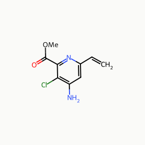 C=Cc1cc(N)c(Cl)c(C(=O)OC)n1